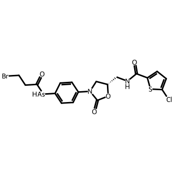 O=C(CCBr)[AsH]c1ccc(N2C[C@H](CNC(=O)c3ccc(Cl)s3)OC2=O)cc1